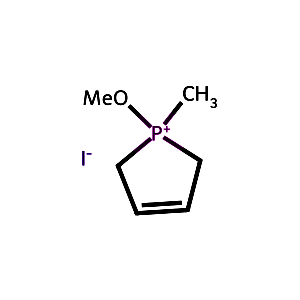 CO[P+]1(C)CC=CC1.[I-]